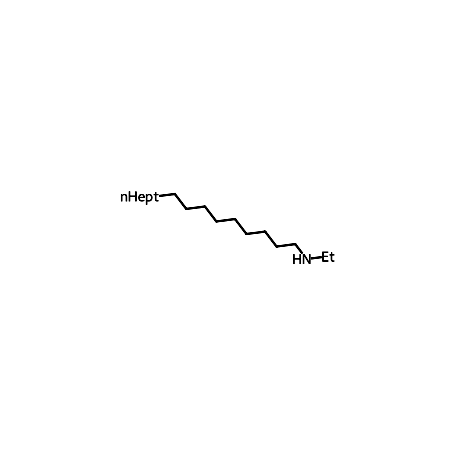 [CH2]CNCCCCCCCCCCCCCCCC